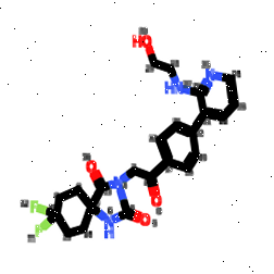 O=C(CN1C(=O)NC2(CCC(F)(F)CC2)C1=O)c1ccc(-c2cccnc2NCCO)cc1